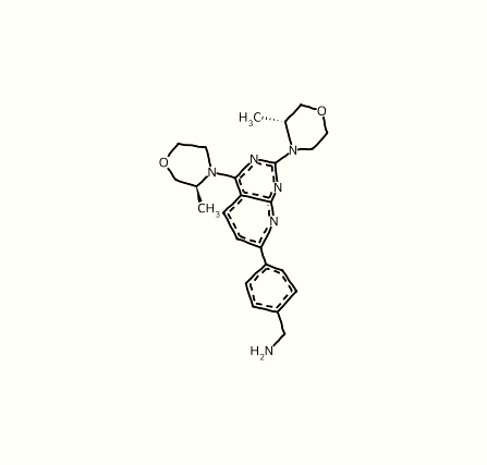 C[C@@H]1COCCN1c1nc(N2CCOC[C@@H]2C)c2ccc(-c3ccc(CN)cc3)nc2n1